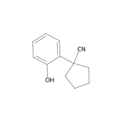 N#CC1(c2ccccc2O)CCCC1